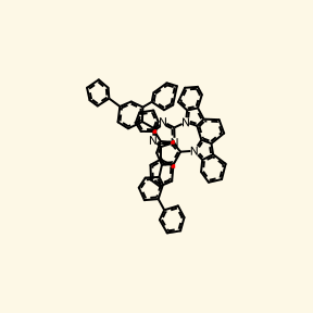 c1ccc(-c2cccc(-c3cc(-c4ccccc4)cc(-n4c5ccccc5c5ccc6c7ccccc7n(-c7nc(-c8ccccc8)nc(-c8ccc(-c9ccccc9)cc8-c8ccccc8)n7)c6c54)c3)c2)cc1